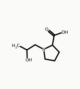 CC(O)CN1CCCC1C(=O)O